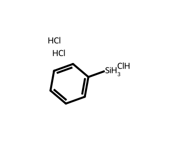 Cl.Cl.Cl.[SiH3]c1ccccc1